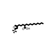 CCCCCCCCCCC(CCCc1coc([Si](C)(C)C)c1)C(=O)O